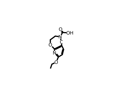 CCOc1ccc2c(n1)OCCN(C(=O)O)C2